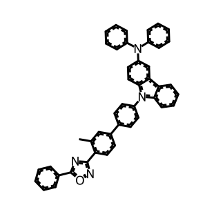 Cc1cc(-c2ccc(-n3c4ccccc4c4cc(N(c5ccccc5)c5ccccc5)ccc43)cc2)ccc1-c1noc(-c2ccccc2)n1